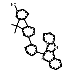 CC1(C)c2cc(C#N)ccc2-c2ccc(-c3cccc(-c4nc5ccccc5c5nc6ccccn6c45)c3)cc21